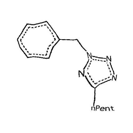 CCCCCc1nnn(Cc2ccccc2)n1